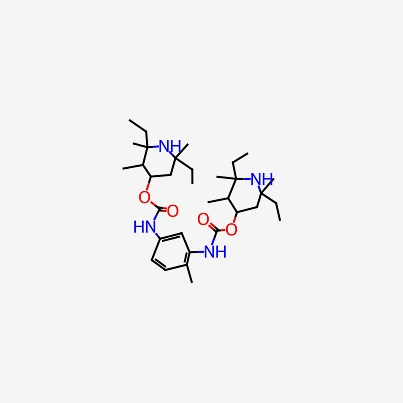 CCC1(C)CC(OC(=O)Nc2ccc(C)c(NC(=O)OC3CC(C)(CC)NC(C)(CC)C3C)c2)C(C)C(C)(CC)N1